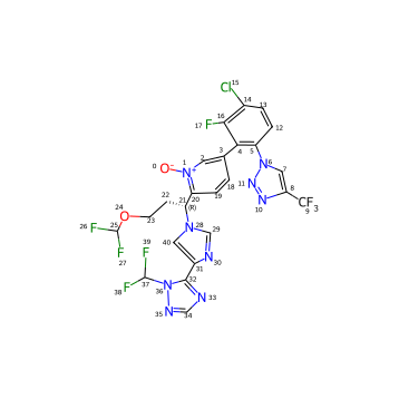 [O-][n+]1cc(-c2c(-n3cc(C(F)(F)F)nn3)ccc(Cl)c2F)ccc1[C@@H](CCOC(F)F)n1cnc(-c2ncnn2C(F)F)c1